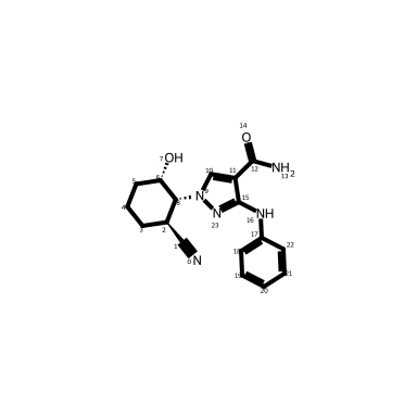 N#C[C@H]1CCC[C@H](O)[C@@H]1n1cc(C(N)=O)c(Nc2ccccc2)n1